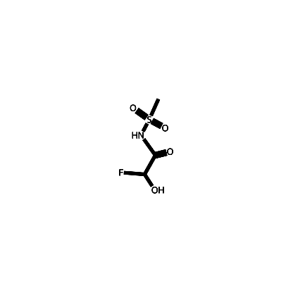 CS(=O)(=O)NC(=O)C(O)F